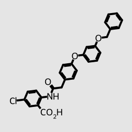 O=C(Cc1ccc(Oc2cccc(OCc3ccccc3)c2)cc1)Nc1ccc(Cl)cc1C(=O)O